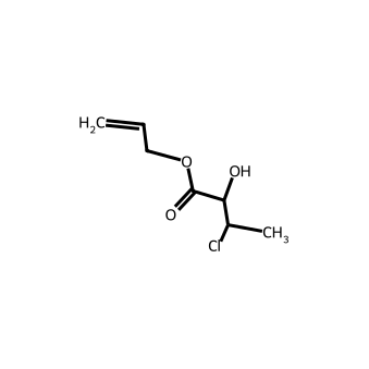 C=CCOC(=O)C(O)C(C)Cl